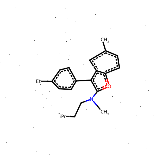 CCc1ccc(-c2c(N(C)CCC(C)C)oc3ccc(C)cc23)cc1